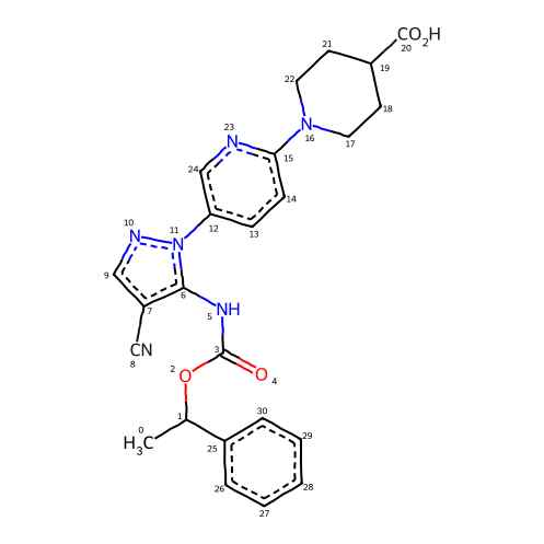 CC(OC(=O)Nc1c(C#N)cnn1-c1ccc(N2CCC(C(=O)O)CC2)nc1)c1ccccc1